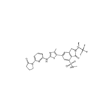 CNS(=O)(=O)c1cc(-c2sc(Nc3cccc(N4CCCC4=O)n3)nc2C)cc2c1C(=O)N([C@@H](C)C(F)(F)F)C2